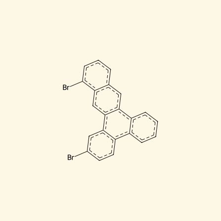 Brc1ccc2c3ccccc3c3cc4cccc(Br)c4cc3c2c1